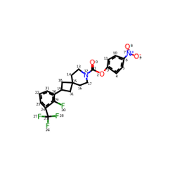 O=C(Oc1ccc([N+](=O)[O-])cc1)N1CCC2(CC1)CC(c1cccc(C(F)(F)F)c1F)C2